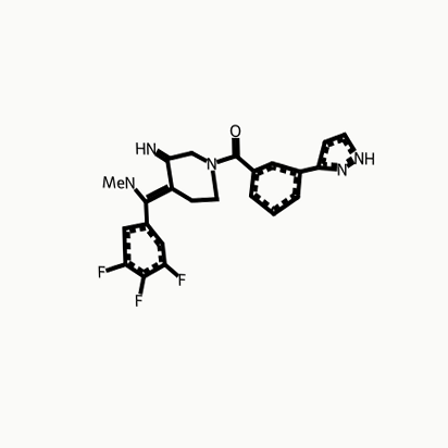 CN/C(=C1/CCN(C(=O)c2cccc(-c3cc[nH]n3)c2)CC1=N)c1cc(F)c(F)c(F)c1